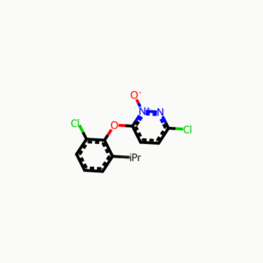 CC(C)c1cccc(Cl)c1Oc1ccc(Cl)n[n+]1[O-]